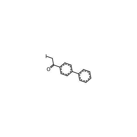 O=C(CI)c1ccc(-c2ccccc2)cc1